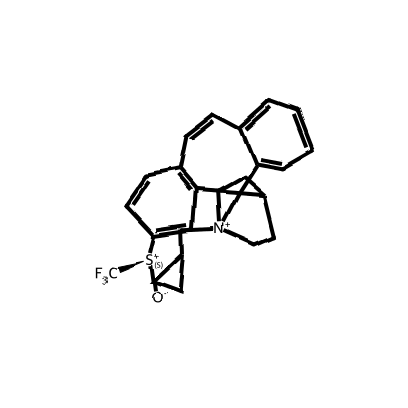 [O-][S@+](c1ccc2c(c1)C1(c3ccccc3C=C2)C2CC[N+]1(CC1CC1)CC2)C(F)(F)F